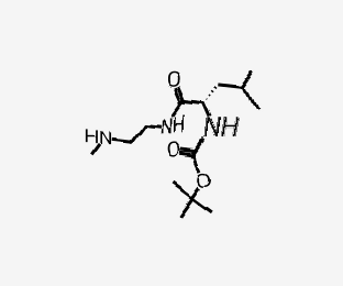 CNCCNC(=O)[C@H](CC(C)C)NC(=O)OC(C)(C)C